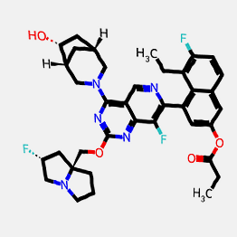 CCC(=O)Oc1cc(-c2ncc3c(N4C[C@@H]5C[C@H](C4)[C@H](O)C5)nc(OC[C@@]45CCCN4C[C@H](F)C5)nc3c2F)c2c(CC)c(F)ccc2c1